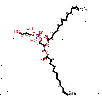 CCCCCCCCCC/C=C\CCCCCCCCCC(=O)OC[C@H](COP(=O)(O)OC[C@@H](O)CO)OC(=O)CCCCCCCCC/C=C\CCCCCCCCCC